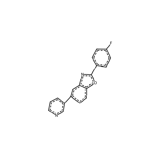 Fc1ccc(-c2nc3cc(-c4cccnc4)ccc3o2)cc1